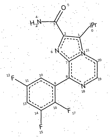 CC(C)c1c(C(N)=O)nc2c(-c3cc(F)cc(F)c3F)nccn12